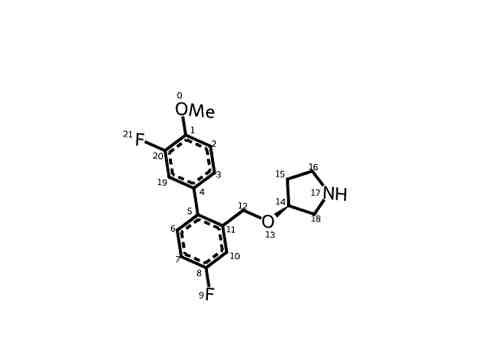 COc1ccc(-c2ccc(F)cc2CO[C@H]2CCNC2)cc1F